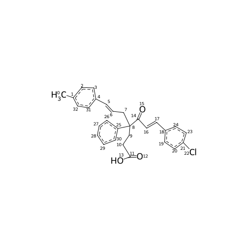 Cc1ccc(/C=C/CC(CCC(=O)O)(C(=O)C=Cc2ccc(Cl)cc2)c2ccccc2)cc1